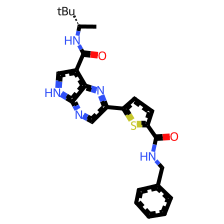 C[C@H](NC(=O)c1c[nH]c2ncc(-c3ccc(C(=O)NCc4ccccc4)s3)nc12)C(C)(C)C